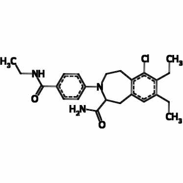 CCNC(=O)c1ccc(N2CCc3c(cc(CC)c(CC)c3Cl)CC2C(N)=O)cc1